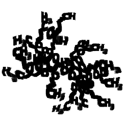 C#CCCC(=O)NCCO[C@H]1OC(CO[C@@H]2OC(COCCCC)[C@@H](OP(=O)(OCCCC)OCCCC)C(OC(=O)C[C@@H](CC)OC(=O)CC)[C@@H]2NC(=O)C[C@@H](CC)OC(=O)CC)[C@@H](OCCCC)[C@H](OC(=O)C[C@@H](CC)OCCCC)C1NC(=O)C[C@@H](CC)OCCCC